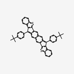 CC(C)(C)c1ccc(C2=c3cc4cc5c(cc4cc3-c3sc4ccccc4c32)=C(c2ccc(C(C)(C)C)cc2)c2c-5sc3ccccc23)cc1